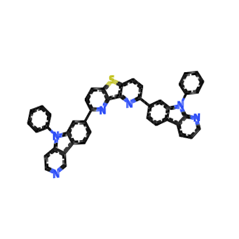 c1ccc(-n2c3ccncc3c3ccc(-c4ccc5sc6ccc(-c7ccc8c9cccnc9n(-c9ccccc9)c8c7)nc6c5n4)cc32)cc1